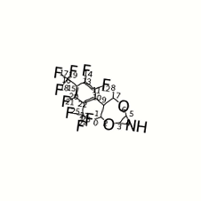 CC1OC2NC2OC(C)C1c1c(F)c(F)c(C(F)(F)F)c(F)c1C(F)(F)F